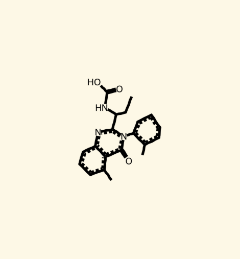 CCC(NC(=O)O)c1nc2cccc(C)c2c(=O)n1-c1ccccc1C